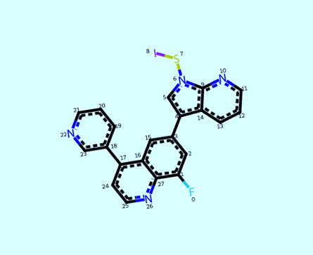 Fc1cc(-c2cn(SI)c3ncccc23)cc2c(-c3cccnc3)ccnc12